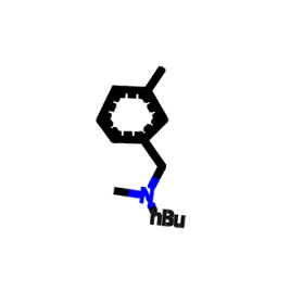 CCCCN(C)Cc1cccc(C)c1